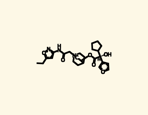 CCc1cc(NC(=O)C[N+]23CCC(CC2)C(OC(=O)[C@](O)(c2ccoc2)C2CCCC2)C3)no1